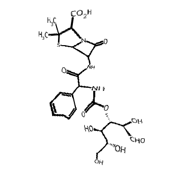 CC1(C)SC2C(NC(=O)C(NC(=O)O[C@@H]([C@H](O)[C@H](O)CO)[C@@H](O)C=O)c3ccccc3)C(=O)N2C1C(=O)O